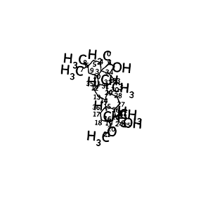 C=C(O)[C@]12CCC(C)(C)C[C@H]1C1=CC[C@@H]3[C@@]4(C)CC[C@H](OC)[C@@](C)(CO)[C@@H]4CC[C@@]3(C)[C@]1(C)CC2